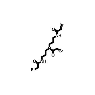 O=C(CBr)NCCCN(CCCNC(=O)CBr)C(=O)CBr